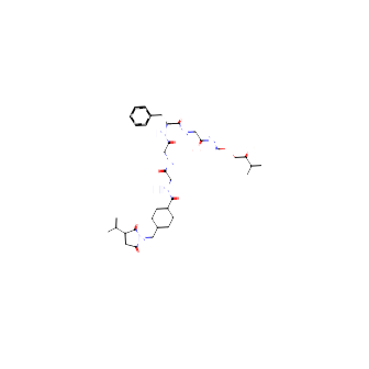 CC(C)C(=O)COCNC(=O)CNC(=O)[C@H](Cc1ccccc1)NC(=O)CNC(=O)CNC(=O)C1CCC(CN2C(=O)CC(C(C)C)C2=O)CC1